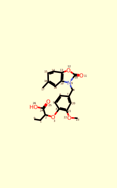 CCC(Oc1ccc(Cn2c(=O)oc3ccc(C)cc32)cc1OC)C(=O)O